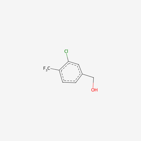 OCc1ccc(C(F)(F)F)c(Cl)c1